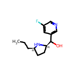 CCC[C@@H]1CC[C@H](C(O)c2cncc(F)c2)N1